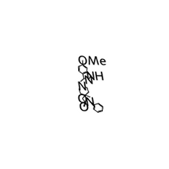 COc1ccc2c(CN3CCC4(CC3)CN(c3ccccc3)C(=O)O4)n[nH]c2c1